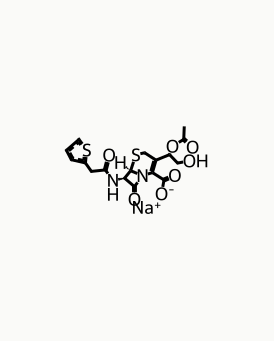 CC(=O)OC(CO)C1=C(C(=O)[O-])N2C(=O)[C@@H](NC(=O)Cc3cccs3)[C@H]2SC1.[Na+]